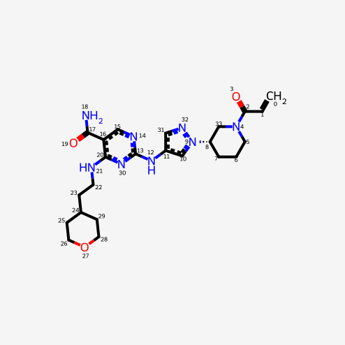 C=CC(=O)N1CCC[C@H](n2cc(Nc3ncc(C(N)=O)c(NCCC4CCOCC4)n3)cn2)C1